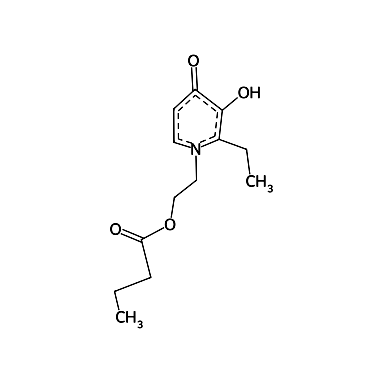 CCCC(=O)OCCn1ccc(=O)c(O)c1CC